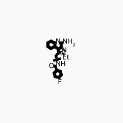 CCn1nc2c(N)nc3ccccc3c2c1CC(C)(C)NC(=O)c1ccc(F)cc1